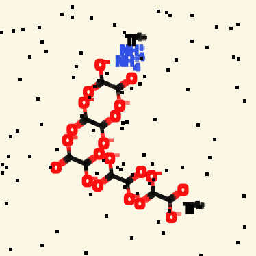 O=C([O-])C(=O)[O-].O=C([O-])C(=O)[O-].O=C([O-])C(=O)[O-].O=C([O-])C(=O)[O-].O=C([O-])C(=O)[O-].[NH4+].[NH4+].[Ti+4].[Ti+4]